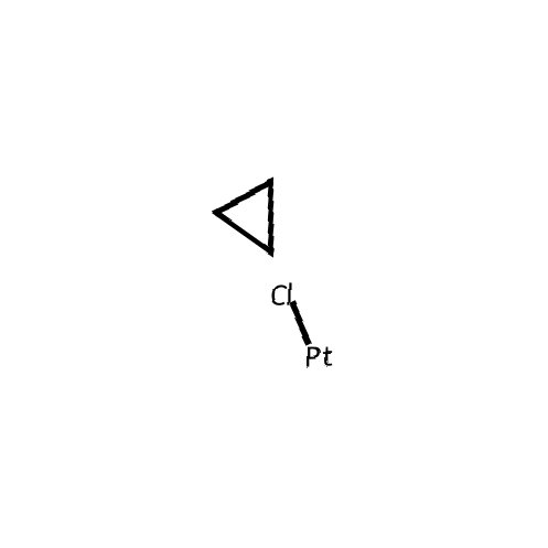 C1CC1.[Cl][Pt]